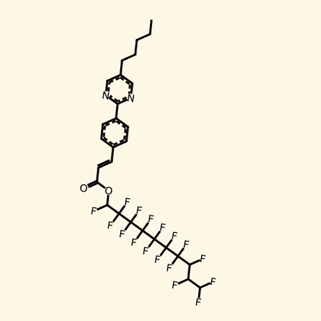 CCCCCc1cnc(-c2ccc(C=CC(=O)OC(F)C(F)(F)C(F)(F)C(F)(F)C(F)(F)C(F)(F)C(F)(F)C(F)C(F)C(F)F)cc2)nc1